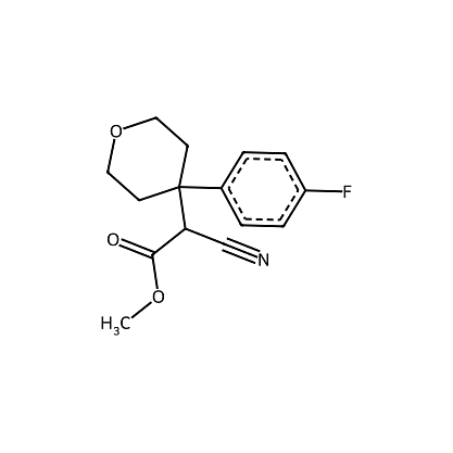 COC(=O)C(C#N)C1(c2ccc(F)cc2)CCOCC1